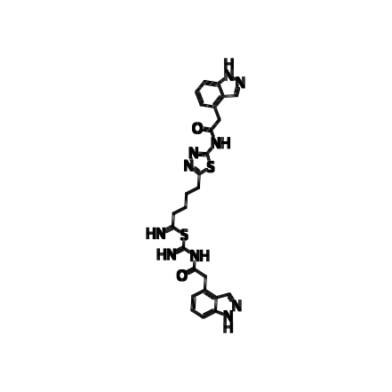 N=C(CCCCc1nnc(NC(=O)Cc2cccc3[nH]ncc23)s1)SC(=N)NC(=O)Cc1cccc2[nH]ncc12